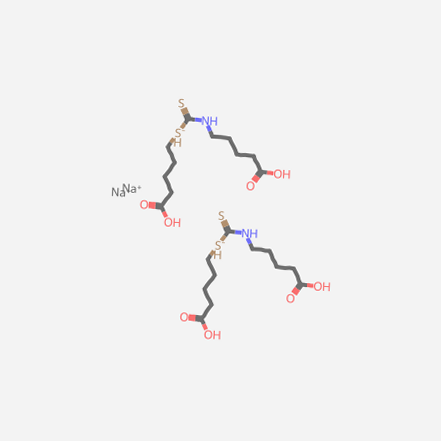 O=C(O)CCCCNC(=S)[SH-]CCCCC(=O)O.O=C(O)CCCCNC(=S)[SH-]CCCCC(=O)O.[Na+].[Na+]